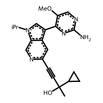 COc1cnc(N)nc1-c1cn(C(C)C)c2cnc(C#CC(C)(O)C3CC3)cc12